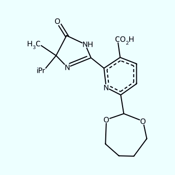 CC(C)C1(C)N=C(c2nc(C3OCCCCO3)ccc2C(=O)O)NC1=O